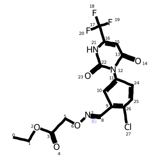 CCOC(=O)CO/N=C/c1cc(-n2c(=O)cc(C(F)(F)F)[nH]c2=O)ccc1Cl